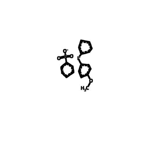 COc1ccc([I+]c2ccccc2)cc1.O=S(=O)([O-])c1ccccc1